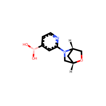 OB(O)c1ccnc(N2C[C@@H]3C[C@H]2CO3)c1